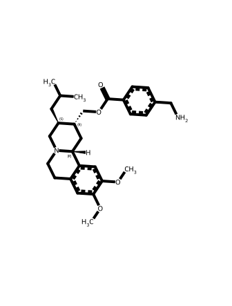 COc1cc2c(cc1OC)[C@H]1C[C@@H](COC(=O)c3ccc(CN)cc3)[C@H](CC(C)C)CN1CC2